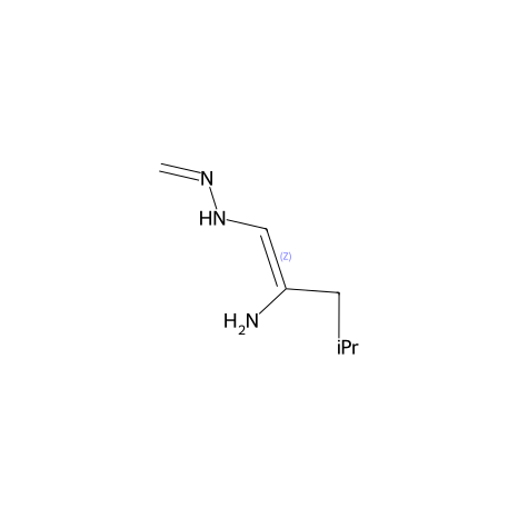 C=NN/C=C(\N)CC(C)C